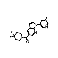 O=C(c1cnc2c(ccn2-c2cncc(I)c2)c1)N1CCC(F)(F)CC1